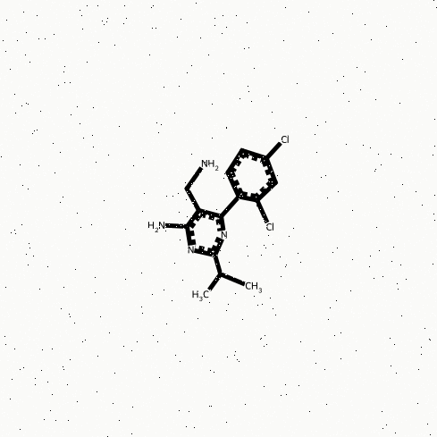 CC(C)c1nc(N)c(CN)c(-c2ccc(Cl)cc2Cl)n1